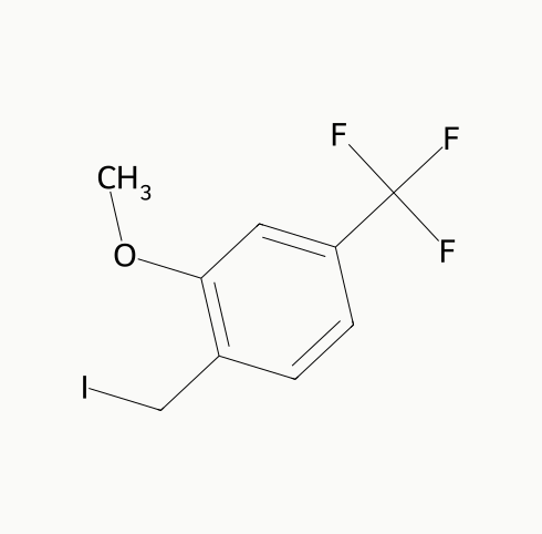 COc1cc(C(F)(F)F)ccc1CI